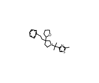 Cc1nc(C(C)(C)N2CCC(CCc3ccccc3)(C3CCCO3)C2)cs1